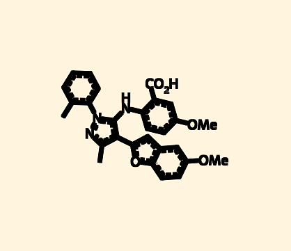 COc1ccc(Nc2c(-c3cc4cc(OC)ccc4o3)c(C)nn2-c2ccccc2C)c(C(=O)O)c1